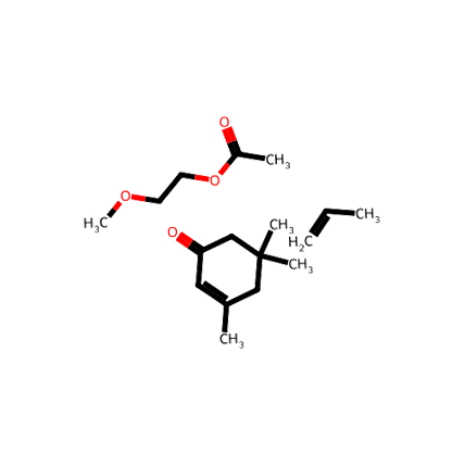 C=CC.CC1=CC(=O)CC(C)(C)C1.COCCOC(C)=O